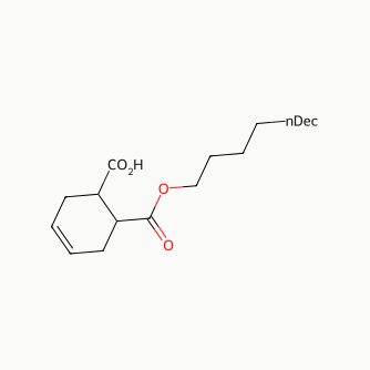 CCCCCCCCCCCCCCOC(=O)C1CC=CCC1C(=O)O